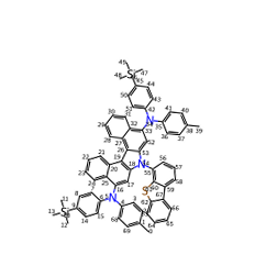 Cc1ccc(N(c2ccc([Si](C)(C)C)cc2)c2cc3c(c4ccccc24)c2c4ccccc4c(N(c4ccc(C)cc4)c4ccc([Si](C)(C)C)cc4)cc2n3-c2cccc3c2sc2ccccc23)cc1